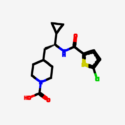 O=C(N[C@H](CC1CCN(C(=O)O)CC1)C1CC1)c1ccc(Cl)s1